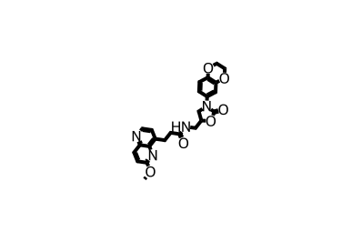 COc1ccc2nccc(CCC(=O)NCC3CN(c4ccc5c(c4)OCCO5)C(=O)O3)c2n1